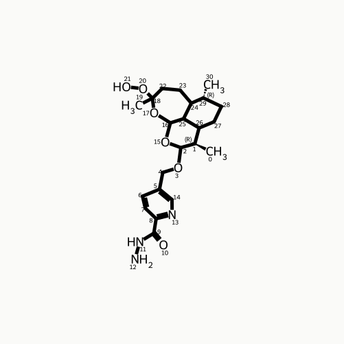 C[C@H]1C(OCc2ccc(C(=O)NN)nc2)OC2OC(C)(OO)CCC3C2C1CC[C@H]3C